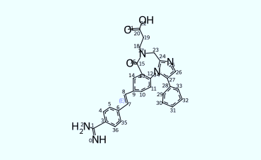 N=C(N)c1ccc(/C=C/c2ccc3c(c2)C(=O)N(CCC(=O)O)Cc2ncc(-c4ccccc4)n2-3)cc1